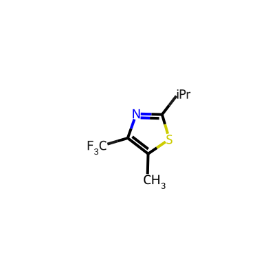 Cc1sc(C(C)C)nc1C(F)(F)F